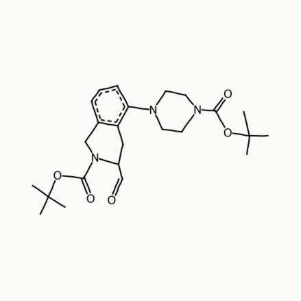 CC(C)(C)OC(=O)N1CCN(c2cccc3c2CC(C=O)N(C(=O)OC(C)(C)C)C3)CC1